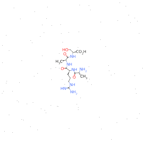 C[C@H](N)C(=O)N[C@@H](CCCNC(=N)N)C(=O)N[C@@H](C)C(=O)N[C@@H](CO)C(=O)O